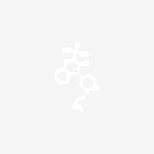 CCC[C@@H]1C[C@H](n2c(=O)c(P(=O)(O)O)nc3ccccc32)CCN1